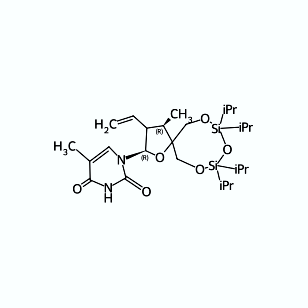 C=CC1[C@H](n2cc(C)c(=O)[nH]c2=O)OC2(CO[Si](C(C)C)(C(C)C)O[Si](C(C)C)(C(C)C)OC2)[C@@H]1C